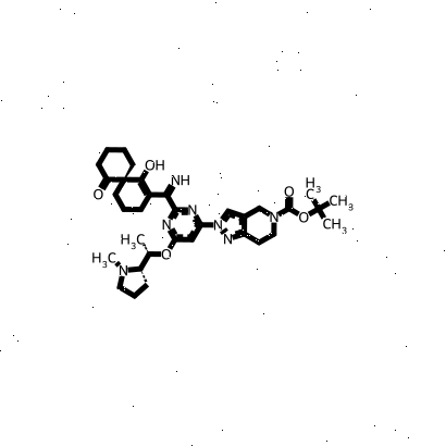 C[C@H](Oc1cc(-n2cc3c(n2)CCN(C(=O)OC(C)(C)C)C3)nc(C(=N)C2=C(O)[C@]3(CCCCC3=O)CCC2)n1)[C@@H]1CCCN1C